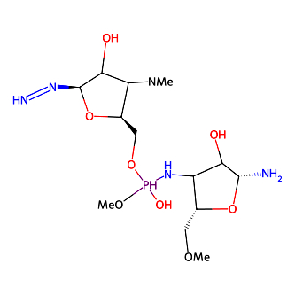 CNC1C(O)[C@H](N=N)O[C@@H]1CO[PH](O)(NC1C(O)[C@H](N)O[C@@H]1COC)OC